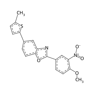 COc1ccc(-c2nc3cc(-c4ccc(C)s4)ccc3o2)cc1[N+](=O)[O-]